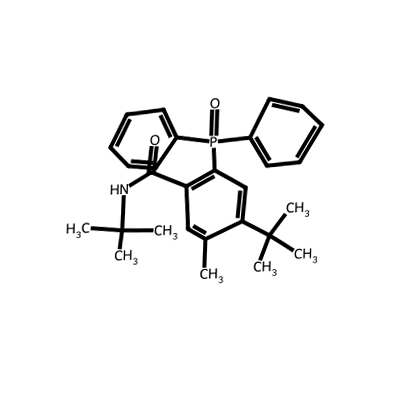 Cc1cc(C(=O)NC(C)(C)C)c(P(=O)(c2ccccc2)c2ccccc2)cc1C(C)(C)C